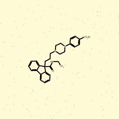 CCOC(=O)c1ccc(N2CCN(CCCC3(C(=O)NCC(F)(F)F)c4ccccc4-c4ccccc43)CC2)cc1